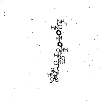 CCOC(=O)[C@@H]1C[C@@H](CCCC(=O)NCC(=O)NCC(=O)Nc2ccc(/N=N/c3ccc(NC(=O)CN)cc3)cc2)C(=O)N1